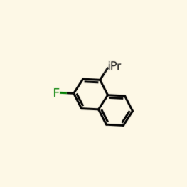 CC(C)c1cc(F)cc2ccccc12